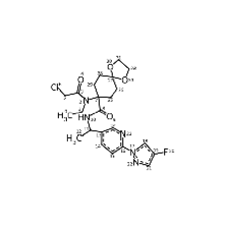 CCN(C(=O)CCl)C1(C(=O)NC(C)c2ccc(-n3cc(F)cn3)nc2)CCC2(CC1)OCCO2